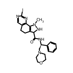 CN1NC(C(=O)N[C@H](CN2CCOCC2)c2ccccc2)C2=C1c1nc(I)ncc1CC2